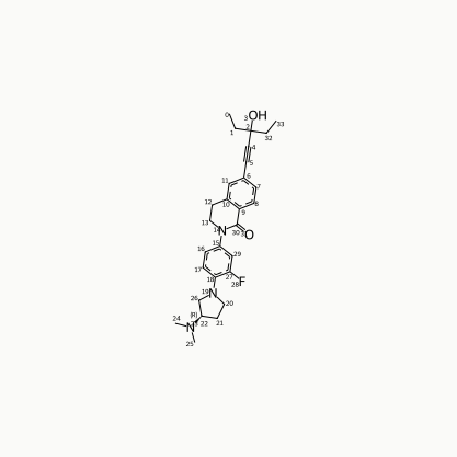 CCC(O)(C#Cc1ccc2c(c1)CCN(c1ccc(N3CC[C@@H](N(C)C)C3)c(F)c1)C2=O)CC